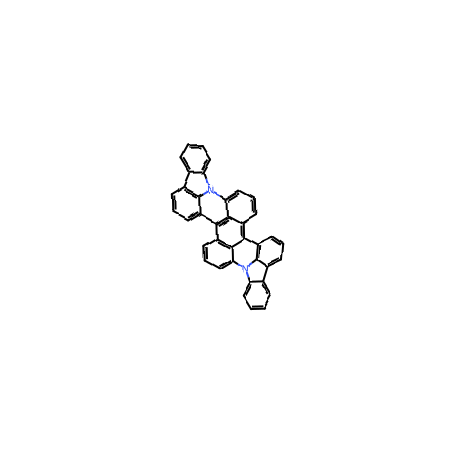 c1ccc2c(c1)c1cccc3c4c5cccc6c5c(c5cccc(c54)n2c13)c1cccc2c3ccccc3n6c21